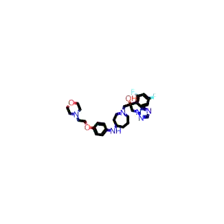 OC(CN1CCCC(Nc2ccc(OCCN3CCOCC3)cc2)CC1)(Cn1cncn1)c1ccc(F)cc1F